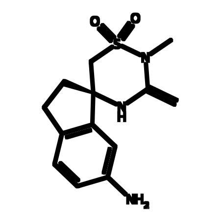 C=C1N[C@@]2(CCc3ccc(N)cc32)CS(=O)(=O)N1C